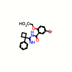 N=C(NC(=O)c1cc(Br)ccc1OCC(=O)O)C1(c2ccccc2)CCC1